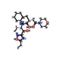 CCc1nc(C(=O)[C@H](CC)NC(=O)[C@@H](CC(=O)N2CCOCC2)CC2CCCCC2)no1